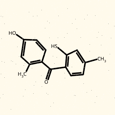 Cc1ccc(C(=O)c2ccc(O)cc2C)c(S)c1